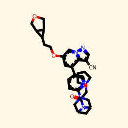 N#Cc1cnn2cc(OCCC3C4COCC34)cc(-c3ccc(N4CC5CC(C4)N5C(=O)CN4CCCC4)nc3)c12